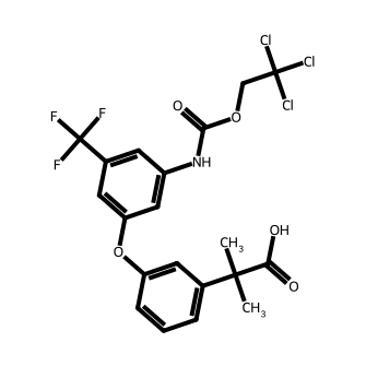 CC(C)(C(=O)O)c1cccc(Oc2cc(NC(=O)OCC(Cl)(Cl)Cl)cc(C(F)(F)F)c2)c1